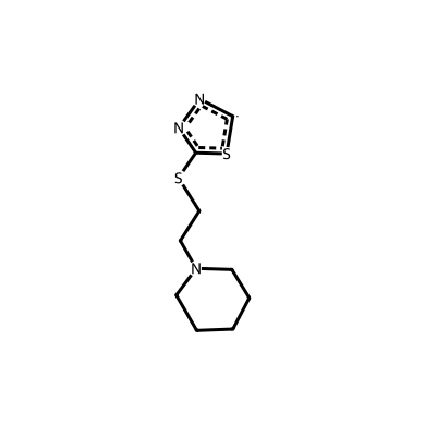 [c]1nnc(SCCN2CCCCC2)s1